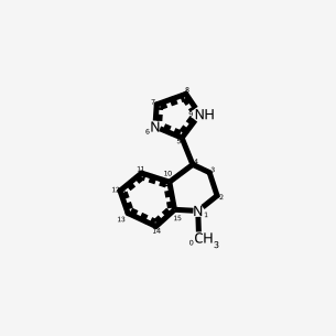 CN1CCC(c2ncc[nH]2)c2ccccc21